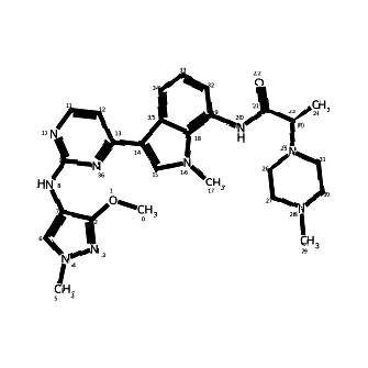 COc1nn(C)cc1Nc1nccc(-c2cn(C)c3c(NC(=O)[C@@H](C)N4CCN(C)CC4)cccc23)n1